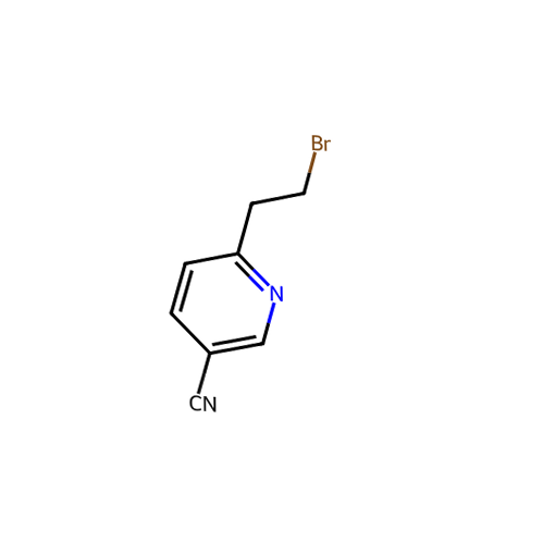 N#Cc1ccc(CCBr)nc1